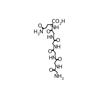 NCC(=O)NCC(=O)NCC(=O)NCC(=O)NCC(=O)N[C@@H](CCC(N)=O)C(=O)O